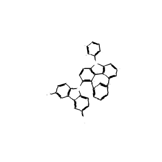 CC(C)(C)c1ccc2c(c1)c1cc(C(C)(C)C)ccc1n2-c1ccc2c3c1-c1cccc(c1)-c1cccc(c13)n2-c1ccccc1